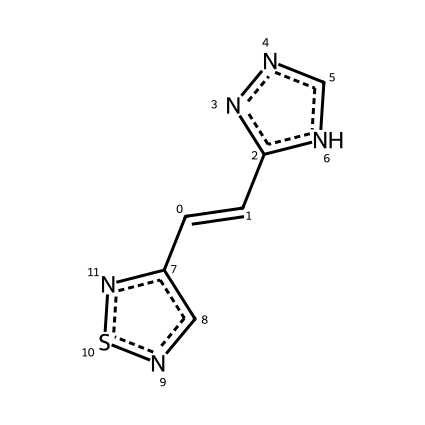 C(=Cc1nnc[nH]1)c1cnsn1